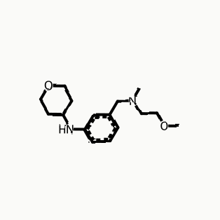 COCCN(C)Cc1cc[c]c(NC2CCOCC2)c1